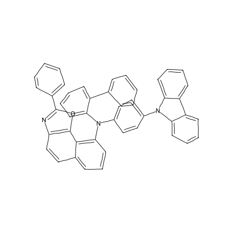 c1ccc(-c2nc3ccc4cccc(N(c5ccc(-n6c7ccccc7c7ccccc76)cc5)c5ccccc5-c5ccccc5)c4c3o2)cc1